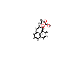 C1=Cc2cccc3cccc(c23)C1.O=c1occo1